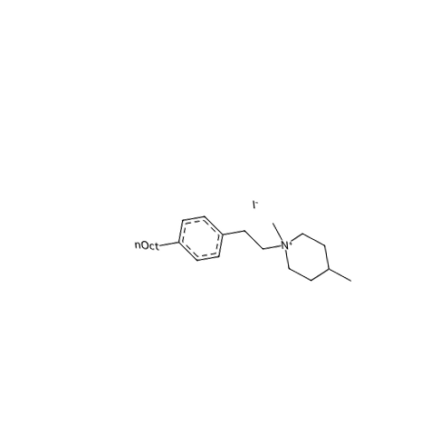 CCCCCCCCc1ccc(CC[N+]2(C)CCC(C)CC2)cc1.[I-]